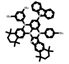 CC(C)(C)c1ccc(N2c3cc(-n4c5ccccc5c5ccccc54)cc4c3B(c3cc5c(cc3N4c3cc(C(C)(C)C)cc(C(C)(C)C)c3)C(C)(C)CCC5(C)C)c3sc4cc5c(cc4c32)C(C)(C)CCC5(C)C)cc1